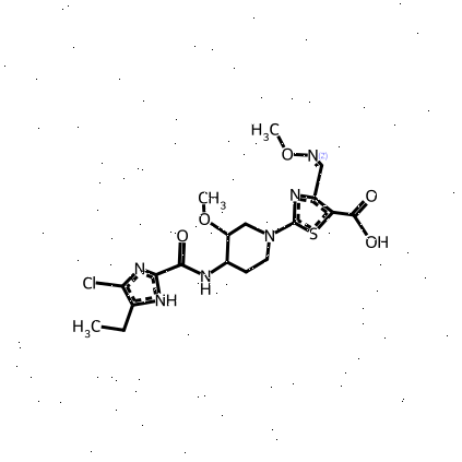 CCc1[nH]c(C(=O)NC2CCN(c3nc(/C=N\OC)c(C(=O)O)s3)CC2OC)nc1Cl